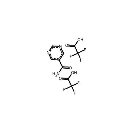 NC(=O)c1cncnc1.O=C(O)C(F)(F)F.O=C(O)C(F)(F)F